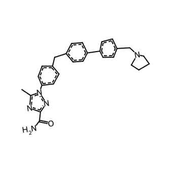 Cc1nc(C(N)=O)nn1-c1ccc(Cc2ccc(-c3ccc(CN4CCCC4)cc3)cc2)cc1